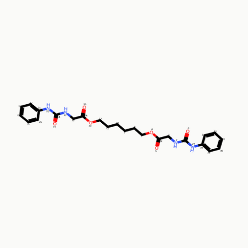 O=C(NCC(=O)OCCCCCCOC(=O)CNC(=O)Nc1ccccc1)Nc1ccccc1